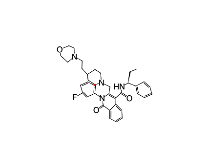 CC[C@H](NC(=O)c1c(CN2CCC(CCN3CCOCC3)CC2)n(-c2cccc(F)c2)c(=O)c2ccccc12)c1ccccc1